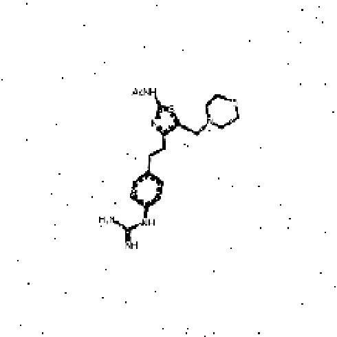 CC(=O)Nc1nc(CCc2ccc(NC(=N)N)cc2)c(CN2CCSCC2)s1